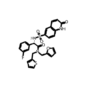 O=C([C@@H](NS(=O)(=O)c1ccc2[nH]c(=O)ccc2c1)c1cccc(F)c1)N(Cc1ccco1)Cc1cccs1